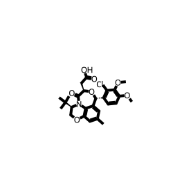 COc1ccc([C@H]2O[C@H](CC(=O)O)C(=O)N3c4c(cc(C)cc42)OC[C@H]3C(C)(C)C)c(Cl)c1OC